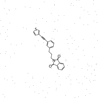 O=C1c2ccccc2C(=O)N1CCCc1cccc(C#Cc2ccsc2)c1